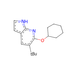 CC(C)(C)c1cc2cc[nH]c2nc1OC1CCCCC1